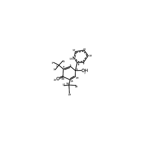 CC(C)(C)C1=CC(O)(c2ccccn2)C=C(C(C)(C)C)C1=O